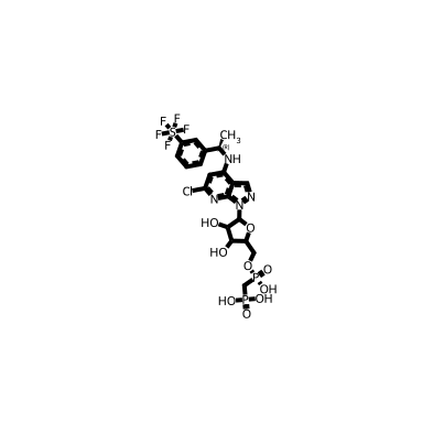 C[C@@H](Nc1cc(Cl)nc2c1cnn2C1OC(COP(=O)(O)CP(=O)(O)O)C(O)C1O)c1cccc(S(F)(F)(F)(F)F)c1